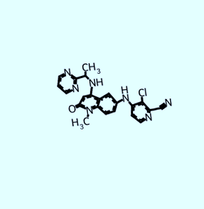 CC(Nc1cc(=O)n(C)c2ccc(Nc3ccnc(C#N)c3Cl)cc12)c1ncccn1